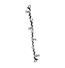 C(CCOCCCCNCC1CO1)CNCCCCOCNCCCCOCCCCNCC1CO1